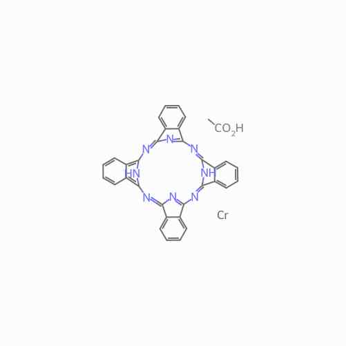 CC(=O)O.[Cr].c1ccc2c(c1)-c1nc-2nc2[nH]c(nc3nc(nc4[nH]c(n1)c1ccccc41)-c1ccccc1-3)c1ccccc21